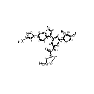 Cn1cc(-c2ccc3c(-c4cc(NC(=O)N5CCC(O)C5)cc(-c5ccc(F)cc5F)c4)cnn3c2)cn1